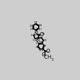 COC(=O)c1ccc2c(c1)CCC1(CCN(c3ccccc3)C1=O)S2